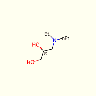 CCCN(CC)C[C@H](O)CO